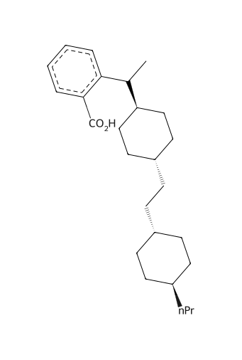 CCC[C@H]1CC[C@H](CC[C@H]2CC[C@H](C(C)c3ccccc3C(=O)O)CC2)CC1